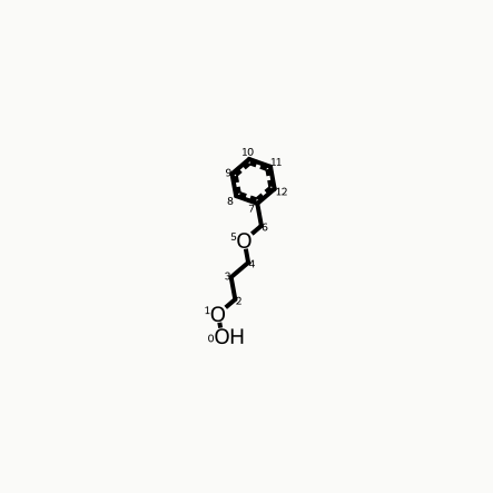 OOCCCOCc1ccccc1